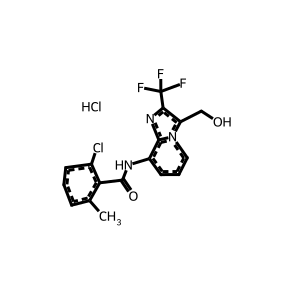 Cc1cccc(Cl)c1C(=O)Nc1cccn2c(CO)c(C(F)(F)F)nc12.Cl